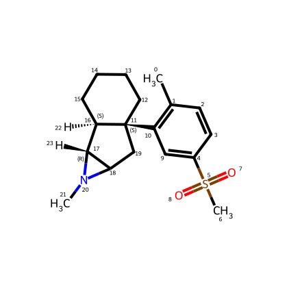 Cc1ccc(S(C)(=O)=O)cc1[C@]12CCCC[C@@H]1[C@@H]1C(C2)N1C